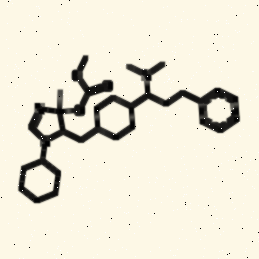 COC(=O)OC1(C)N=CN(C2CCCCC2)C1CC1CCC(C(CCc2ccccc2)N(C)C)CC1